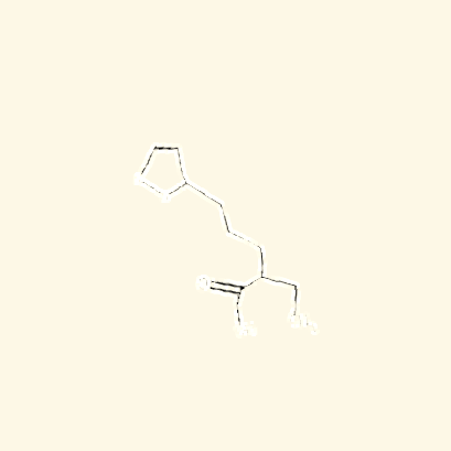 CCC(CCCC1CCSS1)C(=O)O